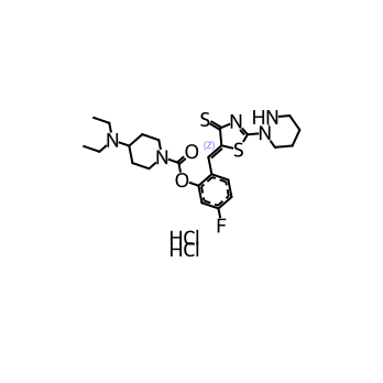 CCN(CC)C1CCN(C(=O)Oc2cc(F)ccc2/C=C2\SC(N3CCCCN3)=NC2=S)CC1.Cl.Cl